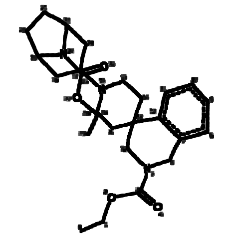 CCOC(=O)N1Cc2ccccc2C2(CCN(C3CC4CCC(C3)N4C(=O)OCC)CC2)C1